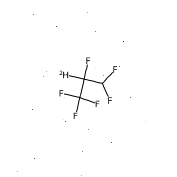 [2H]C(F)(C(F)F)C(F)(F)F